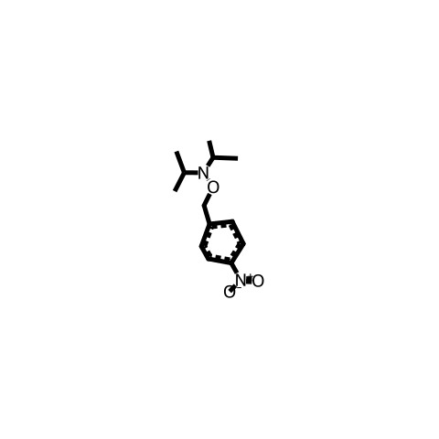 CC(C)N(OCc1ccc([N+](=O)[O-])cc1)C(C)C